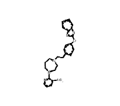 O=[N+]([O-])c1cccnc1N1CCCN(CCc2ccc(Oc3nc4ccccc4s3)cc2)CC1